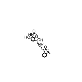 C=C1OC(=O)N(CCCNCC(O)c2ccc(O)c3c2OCC(=O)N3)c2ccccc21